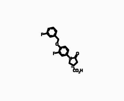 O=C(O)[C@H]1CC(=O)N(c2ccc(OCc3cccc(F)c3)c(F)c2)C1